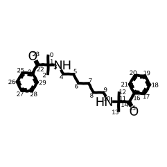 CC(C)(NCCCCCCNC(C)(C)C(=O)c1ccccc1)C(=O)c1ccccc1